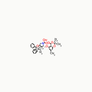 Cc1cc(OC[C@@H]2C[C@@H](O[Si](c3ccccc3)(c3ccccc3)C(C)(C)C)CN2C(=O)O)c2c(c1)OC(C)(C)OC2=O